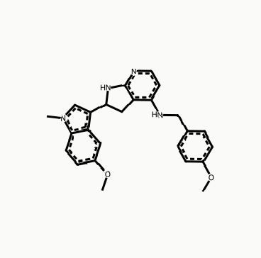 COc1ccc(CNc2ccnc3c2CC(c2cn(C)c4ccc(OC)cc24)N3)cc1